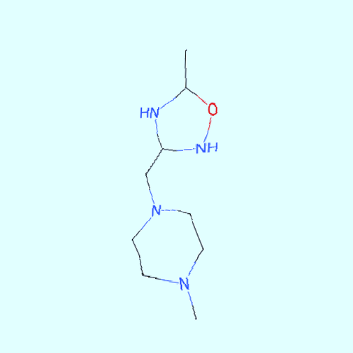 CC1NC(CN2CCN(C)CC2)NO1